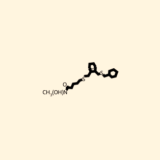 CN(O)C(=O)CCCCSCCC1C2CCC(O2)C1CSCC1CCCCC1